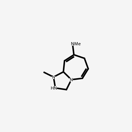 CNC1=CC2N(C=CC1)CNN2C